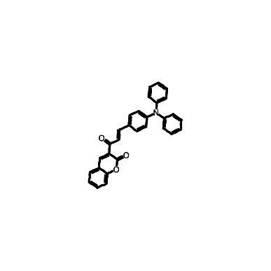 O=C(/C=C/c1ccc(N(c2ccccc2)c2ccccc2)cc1)c1cc2ccccc2oc1=O